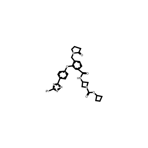 CC(C)c1nnc(-c2ccc(Oc3cc(C(=O)NC4CN(C(=O)OC5CCC5)C4)ccc3CN3CCCC3=O)cc2)s1